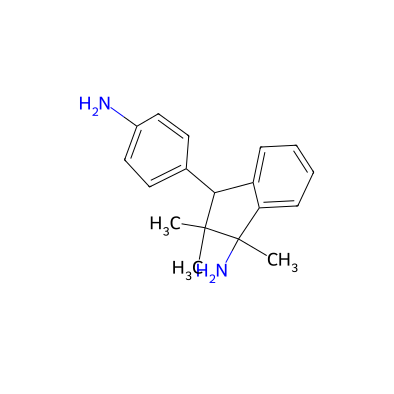 CC1(N)c2ccccc2C(c2ccc(N)cc2)C1(C)C